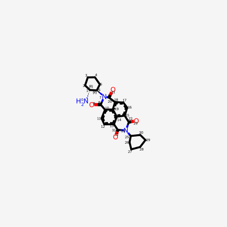 N[C@@H]1CCCC[C@H]1N1C(=O)c2ccc3c4c(ccc(c24)C1=O)C(=O)N(C1CCCCC1)C3=O